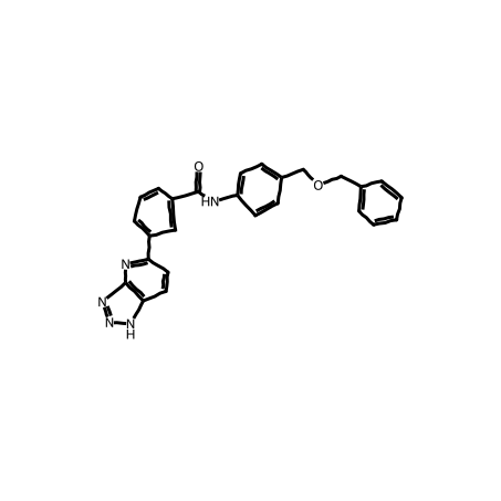 O=C(Nc1ccc(COCc2ccccc2)cc1)c1cccc(-c2ccc3[nH]nnc3n2)c1